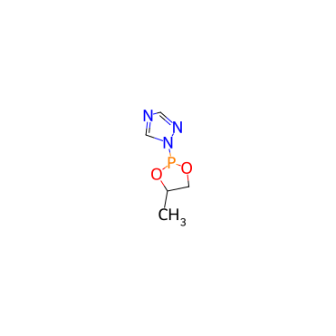 CC1COP(n2cncn2)O1